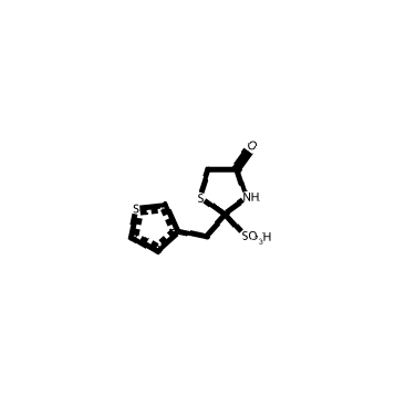 O=C1CSC(Cc2ccsc2)(S(=O)(=O)O)N1